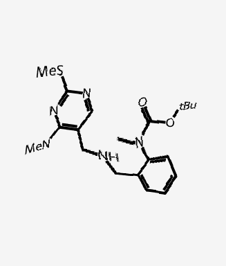 CNc1nc(SC)ncc1CNCc1ccccc1N(C)C(=O)OC(C)(C)C